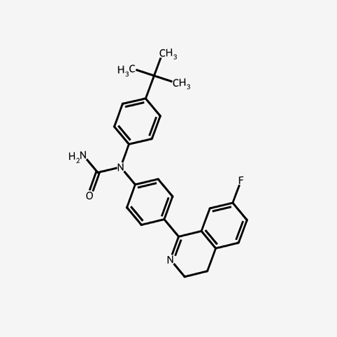 CC(C)(C)c1ccc(N(C(N)=O)c2ccc(C3=NCCc4ccc(F)cc43)cc2)cc1